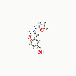 OCc1ccc2c(c1)CN(Cc1ccco1)CO2